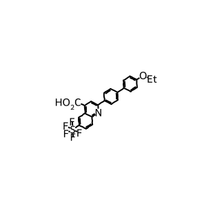 CCOc1ccc(-c2ccc(-c3cc(C(=O)O)c4cc(S(F)(F)(F)(F)F)ccc4n3)cc2)cc1